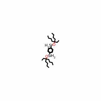 CCCCC(CC)(CCCC)O[SiH2]c1ccc([SiH2]OC(CC)(CCCC)CCCC)cc1